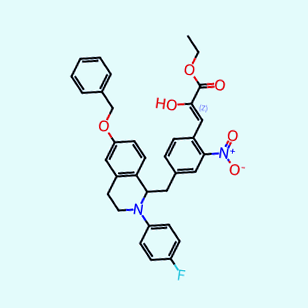 CCOC(=O)/C(O)=C/c1ccc(CC2c3ccc(OCc4ccccc4)cc3CCN2c2ccc(F)cc2)cc1[N+](=O)[O-]